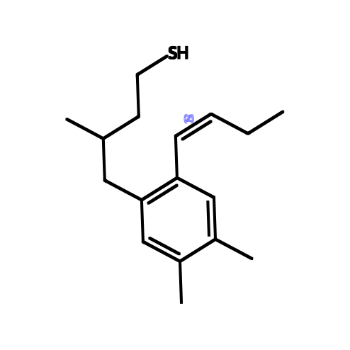 CC/C=C\c1cc(C)c(C)cc1CC(C)CCS